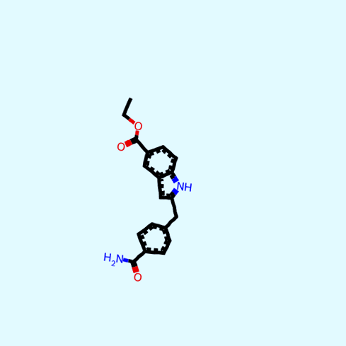 CCOC(=O)c1ccc2[nH]c(Cc3ccc(C(N)=O)cc3)cc2c1